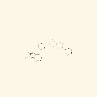 Nc1ccc(-c2ccccc2)cc1NC(=O)c1ccc(Cn2c(=O)[nH]c3ncccc32)cc1